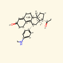 CNc1ccc([C@H]2C[C@]3(C)[C@@H](C(C)=O)CC[C@H]3[C@@H]3CCC4=CC(=O)CCC4=C32)cc1